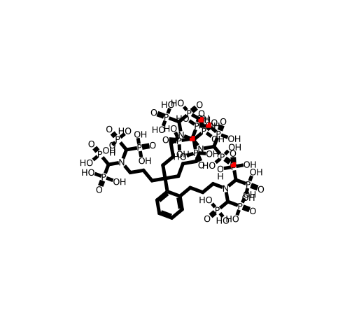 O=P(O)(O)C(N(CCCc1ccccc1C(CCCN(C(P(=O)(O)O)P(=O)(O)O)C(P(=O)(O)O)P(=O)(O)O)(CCCN(C(P(=O)(O)O)P(=O)(O)O)C(P(=O)(O)O)P(=O)(O)O)CCCN(C(P(=O)(O)O)P(=O)(O)O)C(P(=O)(O)O)P(=O)(O)O)C(P(=O)(O)O)P(=O)(O)O)P(=O)(O)O